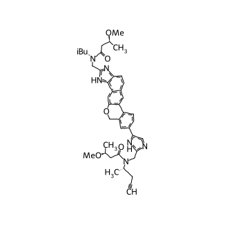 C#CC[C@H](C)N(Cc1ncc(-c2ccc3c(c2)COc2cc4c(ccc5nc(CN(C(=O)C[C@H](C)OC)[C@@H](C)CC)[nH]c54)cc2-3)[nH]1)C(=O)C[C@H](C)OC